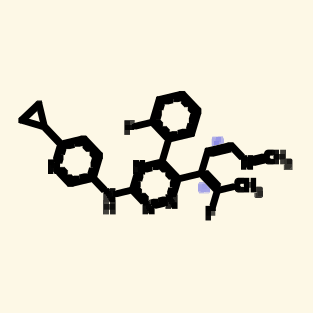 C=N/C=C\C(=C(/C)F)c1nnc(Nc2ccc(C3CC3)nc2)nc1-c1ccccc1F